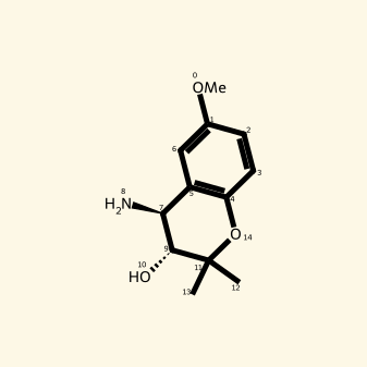 COc1ccc2c(c1)[C@H](N)[C@@H](O)C(C)(C)O2